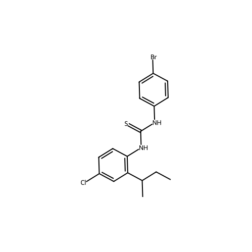 CCC(C)c1cc(Cl)ccc1NC(=S)Nc1ccc(Br)cc1